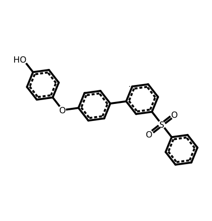 O=S(=O)(c1ccccc1)c1cc[c]c(-c2ccc(Oc3ccc(O)cc3)cc2)c1